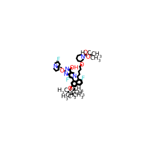 CC(C)[Si](Oc1cc(-c2ncc3c(O)nc(OC[C@@]45CCCN4C[C@H](F)C5)nc3c2F)c2c(CCCCCOC3CCCCN(C(=O)OC(C)(C)C)C3)c(F)ccc2c1)(C(C)C)C(C)C